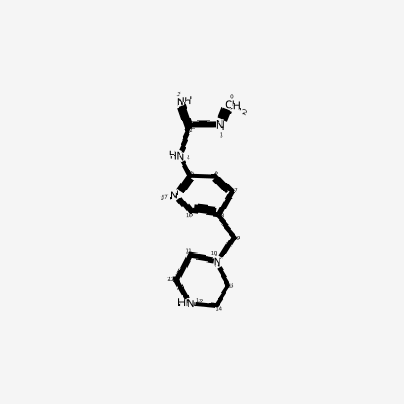 C=NC(=N)Nc1ccc(CN2CCNCC2)cn1